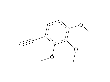 [C]#Cc1ccc(OC)c(OC)c1OC